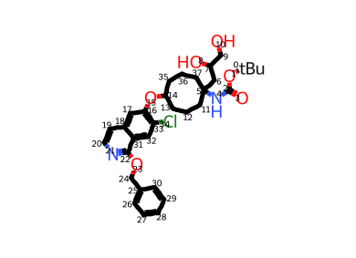 CC(C)(C)OC(=O)NC1(CC(O)CO)CCCC(Oc2cc3ccnc(OCc4ccccc4)c3cc2Cl)CCC1